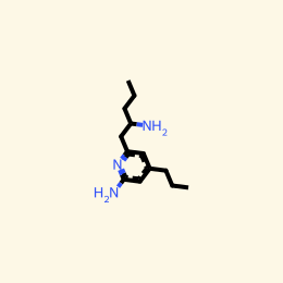 CCCc1cc(N)nc(CC(N)CCC)c1